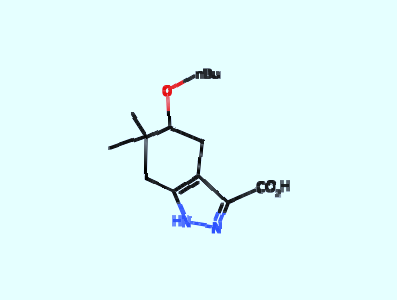 CCCCOC1Cc2c(C(=O)O)n[nH]c2CC1(C)C